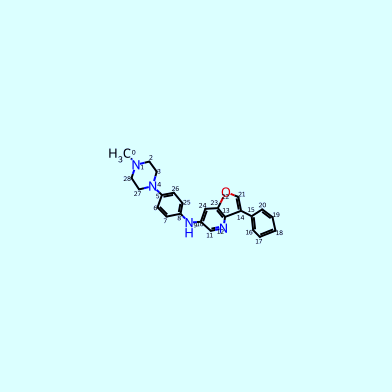 CN1CCN(c2ccc(Nc3cnc4c(-c5ccccc5)coc4c3)cc2)CC1